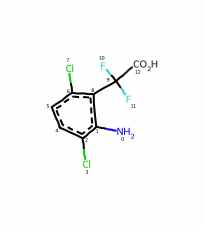 Nc1c(Cl)ccc(Cl)c1C(F)(F)C(=O)O